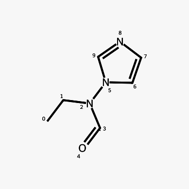 CCN([C]=O)n1ccnc1